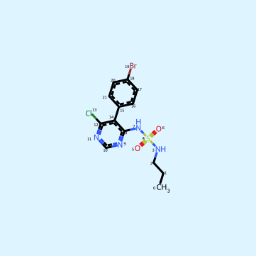 CCCNS(=O)(=O)Nc1ncnc(Cl)c1-c1ccc(Br)cc1